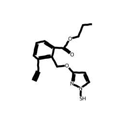 C#Cc1cccc(C(=O)OCCC)c1COc1ccn(S)n1